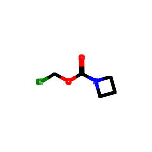 O=C(OCCl)N1CCC1